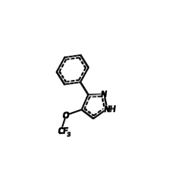 FC(F)(F)Oc1c[nH]nc1-c1ccccc1